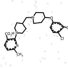 Cc1ccc(C(=O)O)c(N2CCC(CN3CCC(Oc4ccc(Cl)c(Cl)c4)CC3)CC2)n1